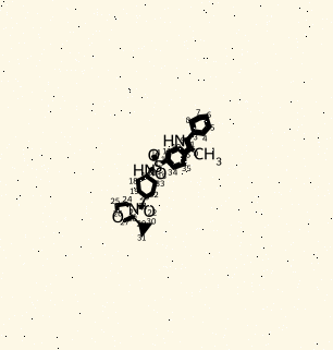 Cc1c(-c2ccccc2)[nH]c2cc(S(=O)(=O)N[C@H]3CC[C@H](C(=O)N4CCOC[C@@H]4C4=CC4)CC3)ccc12